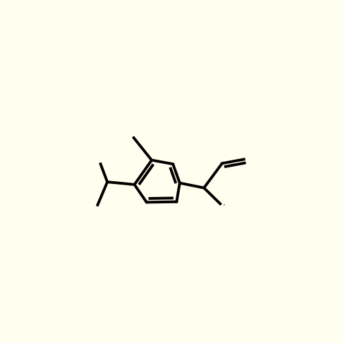 [CH2]C(C=C)c1ccc(C(C)C)c(C)c1